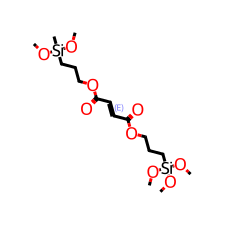 CO[Si](C)(CCCOC(=O)/C=C/C(=O)OCCC[Si](OC)(OC)OC)OC